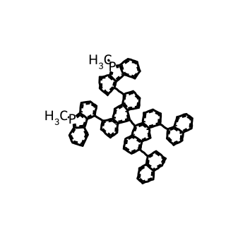 Cp1c2ccccc2c2c(-c3cccc4c(-c5c6cccc(-c7cccc8ccccc78)c6cc6c(-c7cccc8ccccc78)cccc56)c5cccc(-c6cccc7c6c6ccccc6p7C)c5cc34)cccc21